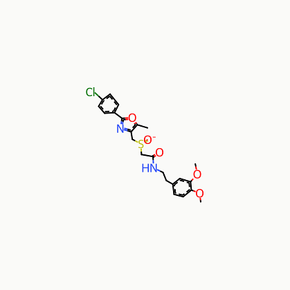 COc1ccc(CCNC(=O)C[S+]([O-])Cc2nc(-c3ccc(Cl)cc3)oc2C)cc1OC